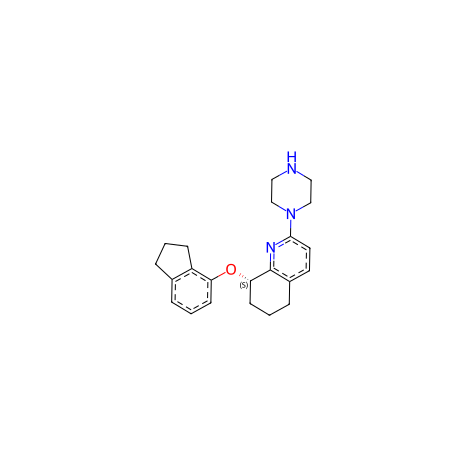 c1cc2c(c(O[C@H]3CCCc4ccc(N5CCNCC5)nc43)c1)CCC2